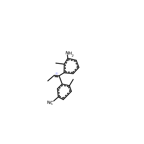 C/C=C(\c1cc(C#N)ccc1C)c1cccc(N)c1C